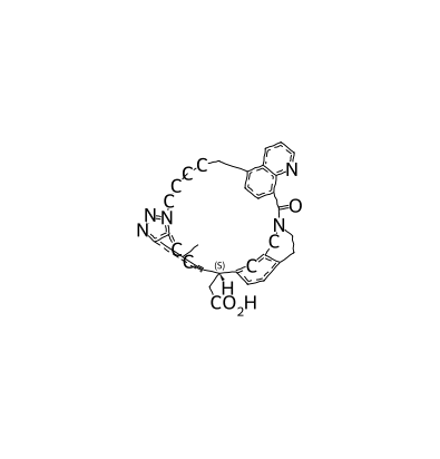 Cc1c2ccc3c1nnn3CCCCCc1ccc(c3ncccc13)C(=O)N1CCc3ccc(cc3C1)[C@@H]2CC(=O)O